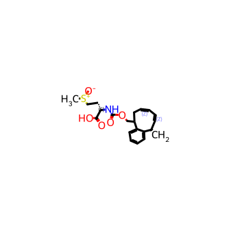 C=C1/C=C\C=C/CC(COC(=O)N[C@@H](CC[S+](C)[O-])C(=O)O)c2ccccc21